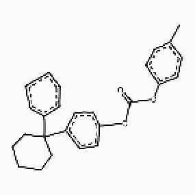 Cc1ccc(OC(=O)Oc2ccc(C3(c4ccccc4)CCCCC3)cc2)cc1